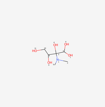 CN(C)C(O)(C(O)O)C(O)CO